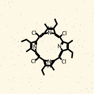 CCC1=C(C)c2nc1c(Cl)c1[nH]c(c(Cl)c3nc(c(Cl)c4[nH]c(c2Cl)c(CC)c4C)C(CC)=C3C)c(CC)c1C